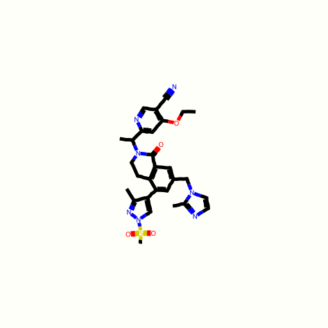 CCOc1cc(C(C)N2CCc3c(cc(Cn4ccnc4C)cc3-c3cn(S(C)(=O)=O)nc3C)C2=O)ncc1C#N